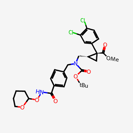 COC(=O)[C@@]1(c2ccc(Cl)c(Cl)c2)C[C@@H]1CN(Cc1ccc(C(=O)NOC2CCCCO2)cc1)C(=O)OC(C)(C)C